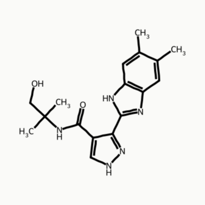 Cc1cc2nc(-c3n[nH]cc3C(=O)NC(C)(C)CO)[nH]c2cc1C